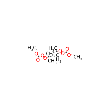 CCOC(=O)OOC(C)(C)CCC(C)(C)OOC(=O)OCC